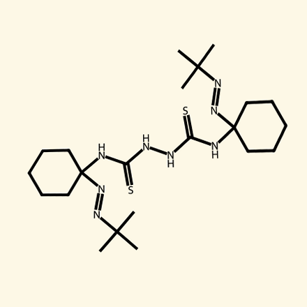 CC(C)(C)N=NC1(NC(=S)NNC(=S)NC2(N=NC(C)(C)C)CCCCC2)CCCCC1